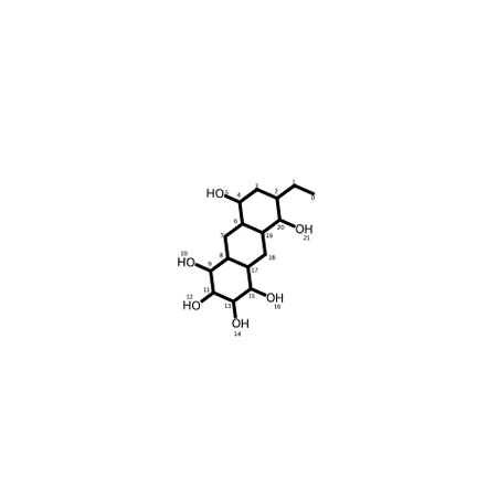 CCC1CC(O)C2CC3C(O)C(O)C(O)C(O)C3CC2C1O